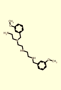 COc1cccc(CNCCNCCN(CCN)Cc2cccc(OC)c2)c1